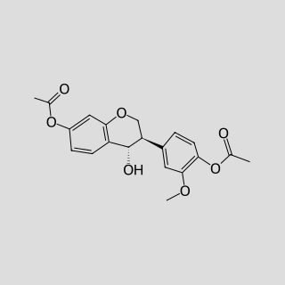 COc1cc([C@@H]2COc3cc(OC(C)=O)ccc3[C@H]2O)ccc1OC(C)=O